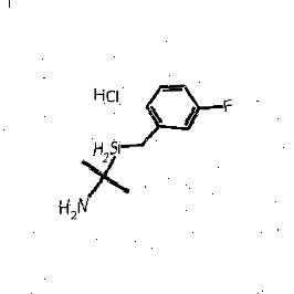 CC(C)(N)[SiH2]Cc1cccc(F)c1.Cl